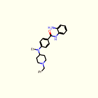 CCN(c1ccc(C(=O)Nc2ccccc2N)cc1)C1CCN(CC(C)C)CC1